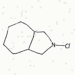 ClN1CC2CCCCC2C1